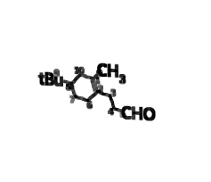 CC1=C(CCC=O)CCC(C(C)(C)C)C1